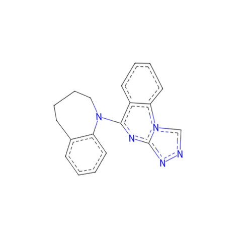 c1ccc2c(c1)CCCCN2c1nc2nncn2c2ccccc12